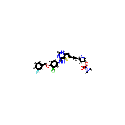 CN(C)C(=O)O[C@H]1CN[C@H](C#Cc2cc3ncnc(Nc4ccc(OCc5cccc(F)c5)c(Cl)c4)c3s2)C1